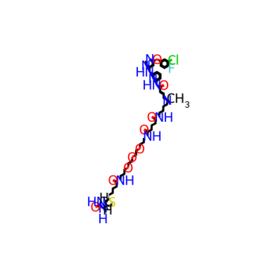 CN(C/C=C/C(=O)Nc1cccc(Nc2cc(Oc3ccc(F)c(Cl)c3)ncn2)n1)CCCCNC(=O)CCCC(=O)NCCCOCCOCCOCCCNC(=O)CCCC[C@@H]1SC[C@@H]2NC(=O)N[C@@H]21